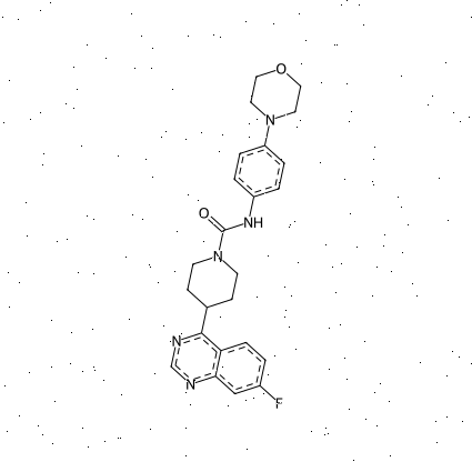 O=C(Nc1ccc(N2CCOCC2)cc1)N1CCC(c2ncnc3cc(F)ccc23)CC1